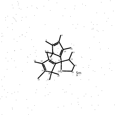 CC1=C(C)C(C)(C)C(C2(C3=C(C)C(C)=C(C)C3(C)C)OCCC2C)=C1C.[Sm]